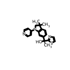 CC1(C)CN(c2ccncc2)c2cc([C@@](C)(O)c3nccs3)ccc21